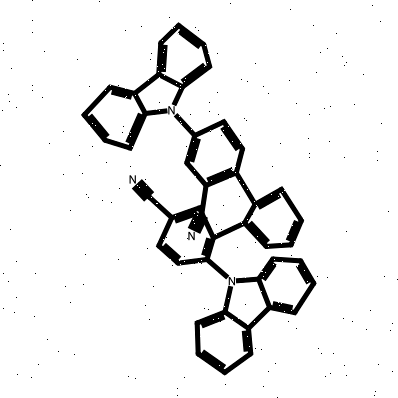 N#Cc1ccc(-n2c3ccccc3c3ccccc32)c(-c2ccccc2-c2ccc(-n3c4ccccc4c4ccccc43)cc2C#N)c1